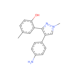 Cc1ccc(O)c(-c2nn(C)cc2-c2ccc(N)cc2)c1